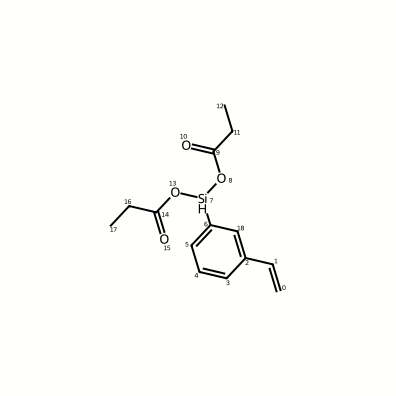 C=Cc1cccc([SiH](OC(=O)CC)OC(=O)CC)c1